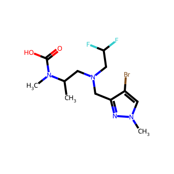 CC(CN(Cc1nn(C)cc1Br)CC(F)F)N(C)C(=O)O